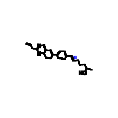 C=CCc1ncc2cc(-c3ccc(/C=C/CCCC(C)O)cc3)ccc2n1